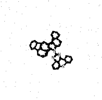 c1ccc2c(c1)Sc1cccc3nc(-n4c5ccc6ccccc6c5c5cc6c7c(cccc7c54)-c4ccccc4-6)nc-2c13